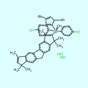 Cl.Cl.[CH2]=[Zr]([C]1=CC(C(C)(C)C)=CC1C(C)C)([C]1=C(C)c2cc3c(cc2C1(C)C)Cc1cc2c(cc1-3)C(C)=CC2(C)C)([c]1ccc(Cl)cc1)[c]1ccc(Cl)cc1